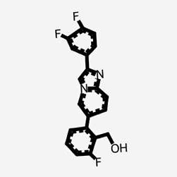 OCc1c(F)cccc1-c1ccc2nc(-c3ccc(F)c(F)c3)cn2c1